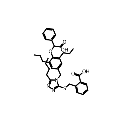 CCCCc1nnc(SCc2ccccc2C(=O)O)n1Cc1cc(CCC)c(OC(C(=O)O)c2ccccc2)c(CCC)c1